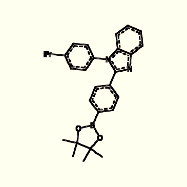 CC(C)c1ccc(-n2c(-c3ccc(B4OC(C)(C)C(C)(C)O4)cc3)nc3ccccc32)cc1